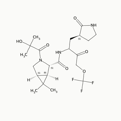 CC(C)(O)C(=O)N1C[C@H]2[C@@H]([C@H]1C(=O)NC(C[C@@H]1CCNC1=O)C(=O)COC(F)(F)F)C2(C)C